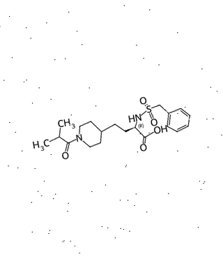 CC(C)C(=O)N1CCC(CC[C@@H](NS(=O)(=O)Cc2ccccc2)C(=O)O)CC1